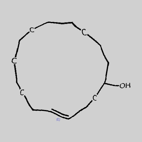 OC1CC/C=C/CCCCCCCCCCC1